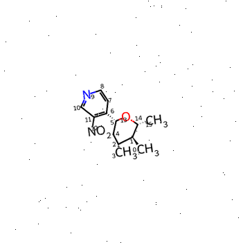 C[C@H]1[C@H](C)C[C@H](c2ccncc2[N+](=O)[O-])O[C@@H]1C